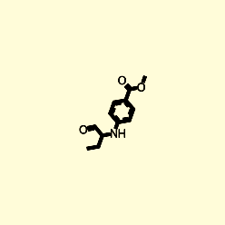 CCC(C=O)Nc1ccc(C(=O)OC)cc1